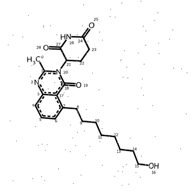 Cc1nc2cccc(CCCCCCCCO)c2c(=O)n1C1CCC(=O)NC1=O